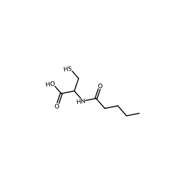 CCCCC(=O)NC(CS)C(=O)O